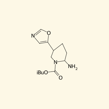 CC(C)COC(=O)N1CC(c2cnco2)CCC1N